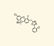 Nc1cc(Cl)cc(Oc2c(Cl)ccc(Cc3nnc(-c4ccccc4Cl)o3)c2F)c1